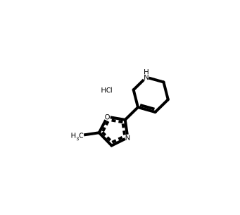 Cc1cnc(C2=CCCNC2)o1.Cl